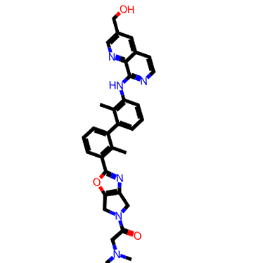 Cc1c(Nc2nccc3cc(CO)cnc23)cccc1-c1cccc(-c2nc3c(o2)CN(C(=O)CN(C)C)C3)c1C